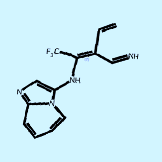 C=C/C(C=N)=C(/Nc1cnc2ccccn12)C(F)(F)F